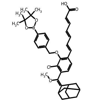 COC(=C1C2CC3CC(C2)CC1C3)c1ccc(/C=C/C=C/C=C/C(=O)O)c(OCc2ccc(B3OC(C)(C)C(C)(C)O3)cc2)c1Cl